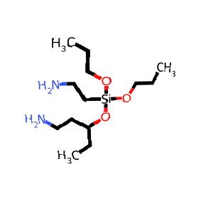 CCCO[Si](CCN)(OCCC)OC(CC)CCN